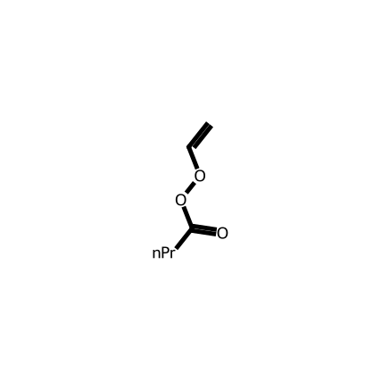 C=COOC(=O)CCC